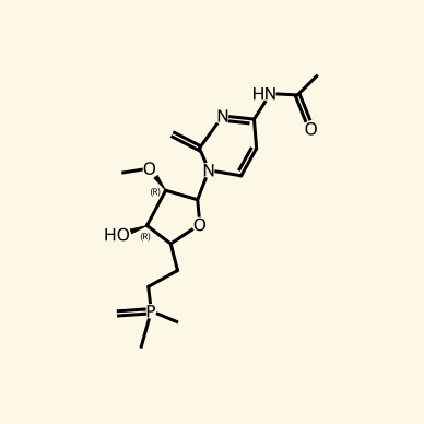 C=C1N=C(NC(C)=O)C=CN1C1OC(CCP(=C)(C)C)[C@@H](O)[C@H]1OC